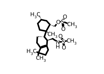 C[C@H]1CC[C@](C)([C@H]2CCC3=C(CCC3(C)C)[C@@H]2CNS(C)(=O)=O)[C@@H](COS(C)(=O)=O)C1